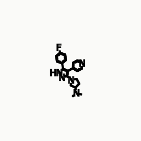 CN(C)C1CCN(c2n[nH]c(-c3ccc(F)cc3)c2-c2ccncc2)C1